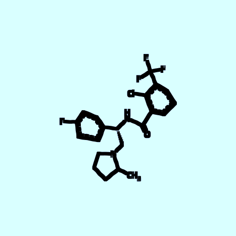 CC1CCCN1C[C@@H](NC(=O)c1cccc(C(F)(F)F)c1Cl)c1ccc(F)cc1